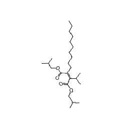 CCCCCCCCCC/C(C(=O)OCC(C)C)=C(/C(=O)OCC(C)C)C(C)C